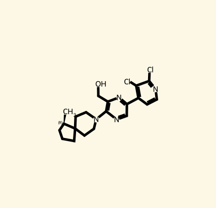 C[C@@H]1CCCC12CCN(c1ncc(-c3ccnc(Cl)c3Cl)nc1CO)CC2